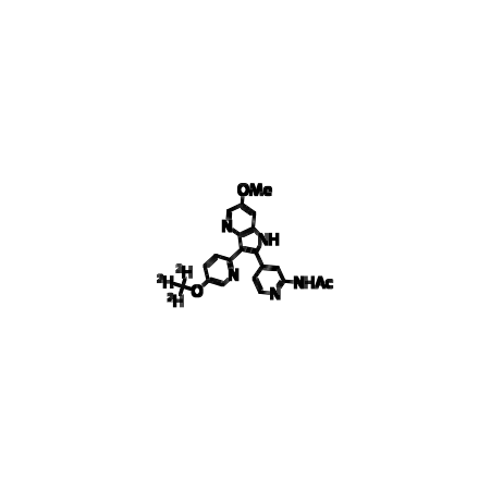 [2H]C([2H])([2H])Oc1ccc(-c2c(-c3ccnc(NC(C)=O)c3)[nH]c3cc(OC)cnc23)nc1